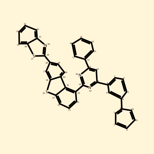 c1ccc(-c2cccc(-c3cc(-c4ccccc4)nc(-c4cccc5sc6cc(-c7nc8ccccc8s7)ccc6c45)n3)c2)cc1